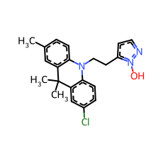 Cc1ccc2c(c1)C(C)(C)c1cc(Cl)ccc1N2CCc1ccnn1O